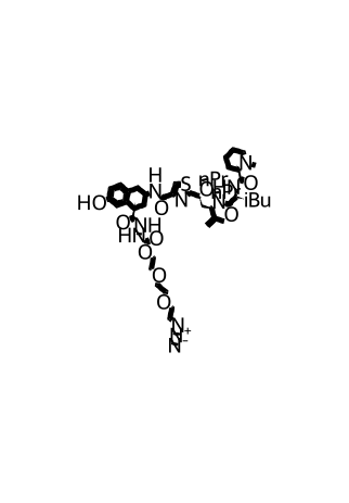 C=C(C)[C@@H](C[C@@H](OCCC)c1nc(C(=O)NC2Cc3ccc(O)cc3[C@H](C(=O)NNC(=O)OCCOCCOCCN=[N+]=[N-])C2)cs1)N(CCC)C(=O)[C@@H](NC(=O)[C@H]1CCCCN1C)[C@@H](C)CC